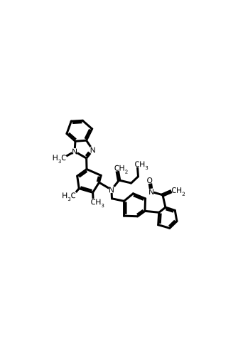 C=C(N=O)c1ccccc1-c1ccc(CN(C(=C)CCC)c2cc(-c3nc4ccccc4n3C)cc(C)c2C)cc1